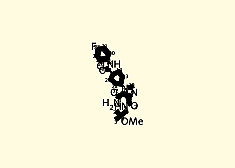 COC(C)(C)CNC(=O)c1ncn([C@H]2CC[C@H](C(=O)Nc3ccc(F)cc3Cl)CC2)c1C(N)=O